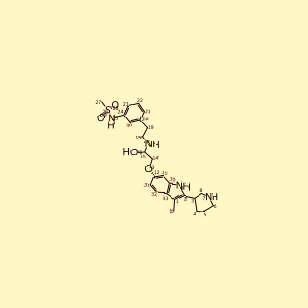 Cc1c(C2CCCNC2)[nH]c2cc(OCC(O)NCCc3cccc(NS(C)(=O)=O)c3)ccc12